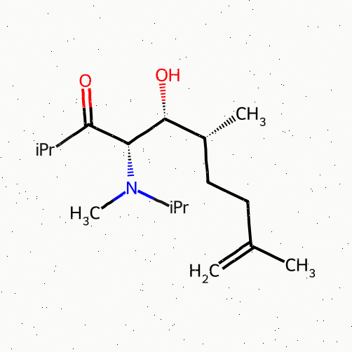 C=C(C)CC[C@@H](C)[C@@H](O)[C@@H](C(=O)C(C)C)N(C)C(C)C